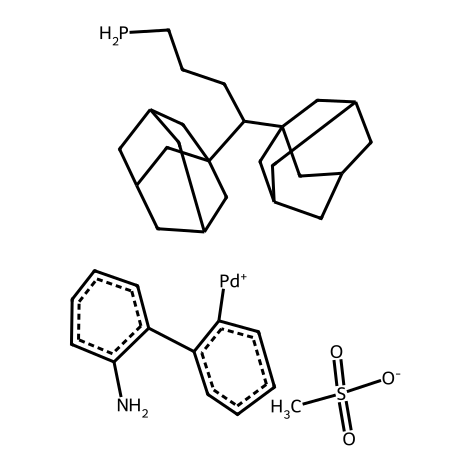 CS(=O)(=O)[O-].Nc1ccccc1-c1cccc[c]1[Pd+].PCCCC(C12CC3CC(CC(C3)C1)C2)C12CC3CC(CC(C3)C1)C2